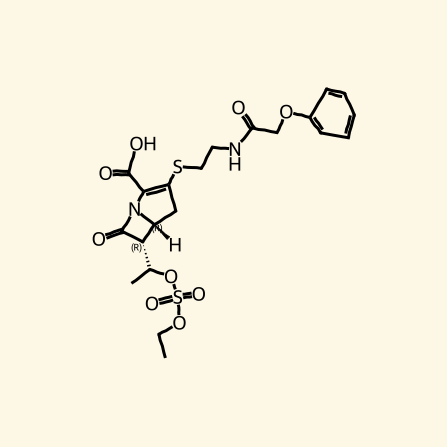 CCOS(=O)(=O)OC(C)[C@@H]1C(=O)N2C(C(=O)O)=C(SCCNC(=O)COc3ccccc3)C[C@H]12